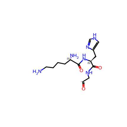 NCCCC[C@H](N)C(=O)N[C@@H](Cc1c[nH]cn1)C(=O)NC[C]=O